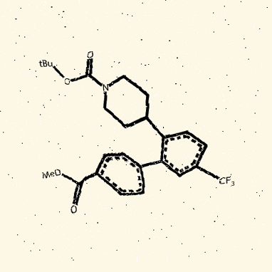 COC(=O)c1ccc(-c2cc(C(F)(F)F)ccc2C2CCN(C(=O)OC(C)(C)C)CC2)cc1